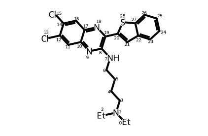 CCN(CC)CCCCNc1nc2cc(Cl)c(Cl)cc2nc1-c1cc2ccccc2s1